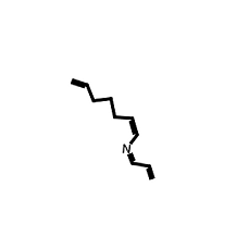 C=C/C=N\C=C/CCCC=C